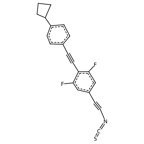 Fc1cc(C#CN=C=S)cc(F)c1C#Cc1ccc(C2CCC2)cc1